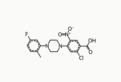 Cc1ccc(F)cc1N1CCN(c2cc(Cl)c(C(=O)O)cc2[N+](=O)[O-])CC1